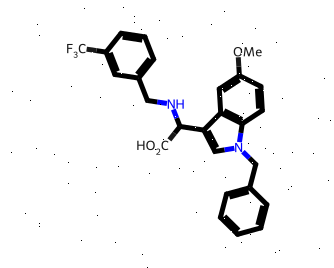 COc1ccc2c(c1)c(C(NCc1cccc(C(F)(F)F)c1)C(=O)O)cn2Cc1ccccc1